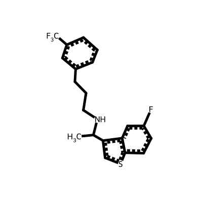 CC(NCCCc1cccc(C(F)(F)F)c1)c1csc2ccc(F)cc12